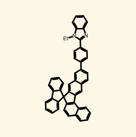 CCn1c(-c2ccc(-c3ccc4cc5c(cc4c3)C3(c4ccccc4-c4ccccc43)c3ccc4ccccc4c3-5)cc2)nc2ccccc21